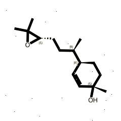 C[C@H](CC[C@@H]1OC1(C)C)[C@@H]1C=C[C@@](C)(O)CC1